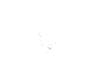 CC(C)CCC[C@@H](C)[C@H]1CC[C@H]2[C@@H]3CC=C4C[C@@H](O)CC(C(=O)C5C[C@H](O)CC6=CC[C@H]7[C@@H]8CC[C@H]([C@H](C)CCCC(C)C)[C@@]8(C)CC[C@@H]7[C@]65C)[C@]4(C)[C@H]3CC[C@]12C